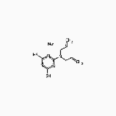 C=CCN(CC=C)c1nc(S)nc(S)n1.[Na]